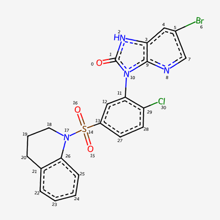 O=c1[nH]c2cc(Br)cnc2n1-c1cc(S(=O)(=O)N2CCCc3ccccc32)ccc1Cl